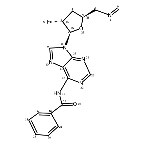 C=NC[C@@H]1C[C@@H](F)[C@H](n2cnc3c(NC(=O)c4ccccc4)ncnc32)O1